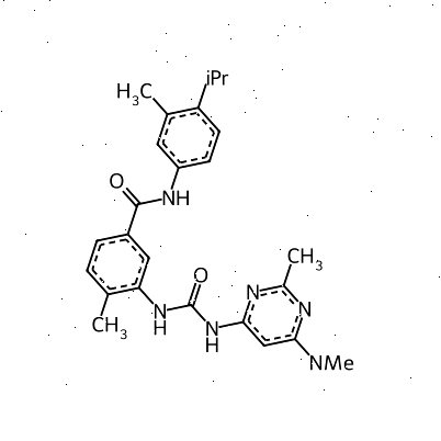 CNc1cc(NC(=O)Nc2cc(C(=O)Nc3ccc(C(C)C)c(C)c3)ccc2C)nc(C)n1